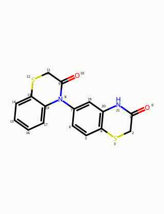 O=C1CSc2ccc(N3C(=O)[C]Sc4ccccc43)cc2N1